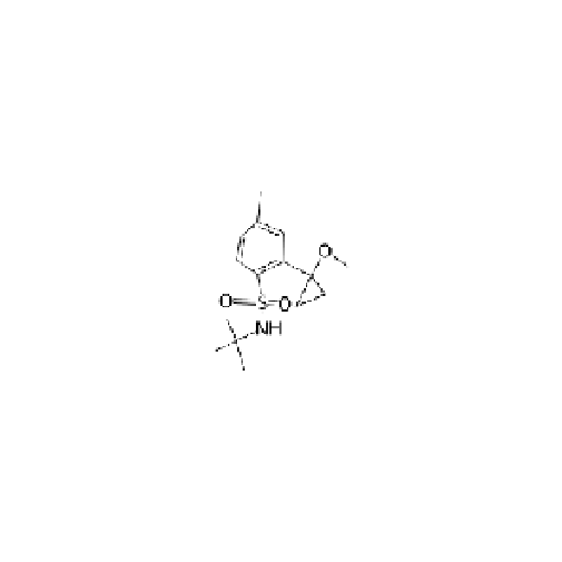 COC1(c2cc(C)ccc2S(=O)(=O)NC(C)(C)C)CC1